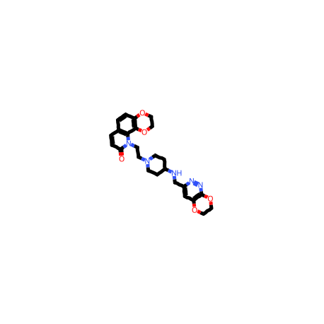 O=c1ccc2ccc3c(c2n1CCN1CCC(NCc2cc4c(nn2)OCCO4)CC1)OCCO3